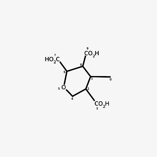 CC1C(C(=O)O)COC(C(=O)O)C1C(=O)O